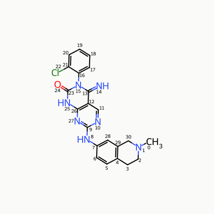 CN1CCc2ccc(Nc3ncc4c(=N)n(-c5ccccc5Cl)c(=O)[nH]c4n3)cc2C1